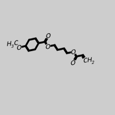 C=CC(=O)OCCCCOC(=O)C1CCC(OC)CC1